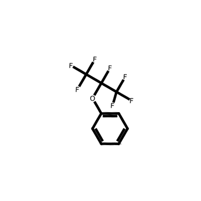 FC(F)(F)C(F)(Oc1cc[c]cc1)C(F)(F)F